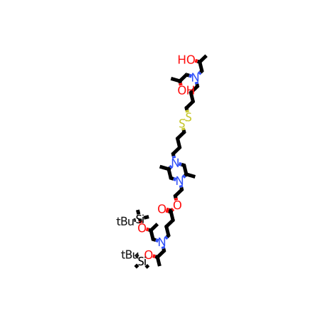 CC(O)CN(CCCCSSCCCCN1CC(C)N(CCOC(=O)CCCN(CC(C)O[Si](C)(C)C(C)(C)C)CC(C)O[Si](C)(C)C(C)(C)C)CC1C)CC(C)O